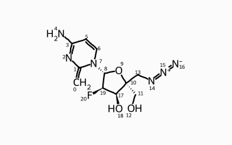 C=C1N=C(N)C=CN1[C@@H]1O[C@@](CO)(CN=[N+]=[N-])[C@@H](O)[C@H]1F